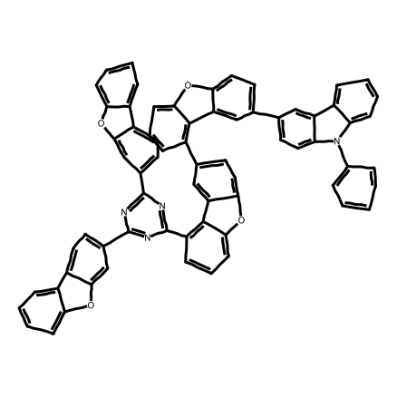 c1ccc(-n2c3ccccc3c3cc(-c4ccc5oc6cccc(-c7ccc8oc9cccc(-c%10nc(-c%11ccc%12c(c%11)oc%11ccccc%11%12)nc(-c%11ccc%12c(c%11)oc%11ccccc%11%12)n%10)c9c8c7)c6c5c4)ccc32)cc1